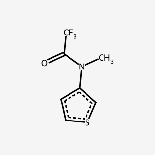 CN(C(=O)C(F)(F)F)c1ccsc1